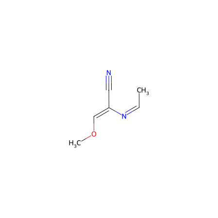 C/C=N\C(C#N)=C/OC